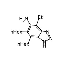 CCCCCCc1c(N)c(CC)c2nn[nH]c2c1CCCCCC